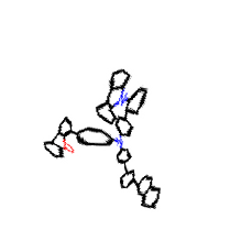 c1cc(-c2ccc(N(c3ccc(-c4ccccc4-n4c5ccccc5c5ccccc54)cc3)c3ccc(-c4cccc5c4oc4ccccc45)cc3)cc2)cc(-c2ccc3ccccc3c2)c1